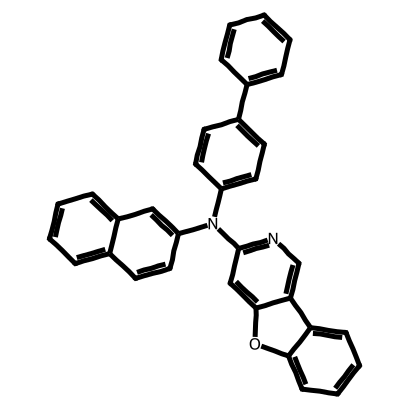 c1ccc(-c2ccc(N(c3ccc4ccccc4c3)c3cc4oc5ccccc5c4cn3)cc2)cc1